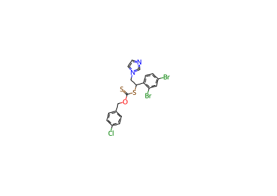 S=C(OCc1ccc(Cl)cc1)SC(Cn1ccnc1)c1ccc(Br)cc1Br